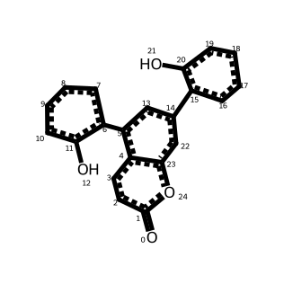 O=c1ccc2c(-c3ccccc3O)cc(-c3ccccc3O)cc2o1